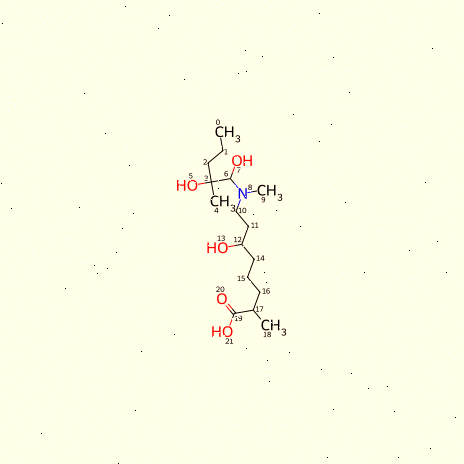 CCCC(C)(O)C(O)N(C)CCC(O)CCCC(C)C(=O)O